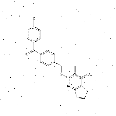 Cn1c(SCc2ccc(C(=O)c3ccc(Cl)cc3)cc2)nc2c(c1=O)CCC2